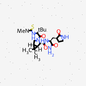 CNC(=S)N[C@H](C(=O)N1C[C@H]2[C@@H]([C@H]1C(=O)N[C@@H](C[C@@H]1CCNC1=O)C(N)=O)C2(C)C)C(C)(C)C